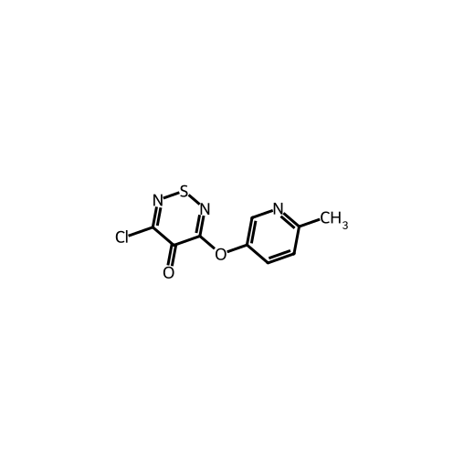 Cc1ccc(Oc2nsnc(Cl)c2=O)cn1